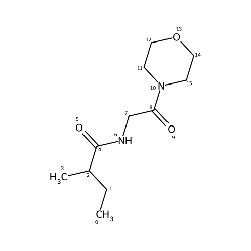 CCC(C)C(=O)NCC(=O)N1CCOCC1